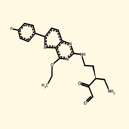 CCOc1nc(NCC[C@@H](CN)C(=O)C=O)nc2ccc(-c3ccc(F)cc3)nc12